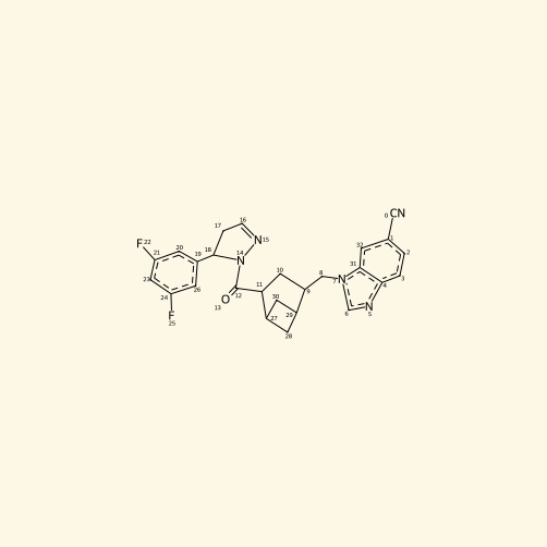 N#Cc1ccc2ncn(CC3CC(C(=O)N4N=CCC4c4cc(F)cc(F)c4)C4CC3C4)c2c1